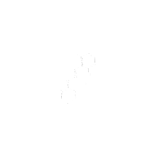 Cc1cccc(Cl)c1/C=N/NC1=NCCCN1.Cl